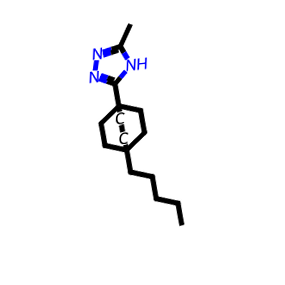 CCCCCC12CCC(c3nnc(C)[nH]3)(CC1)CC2